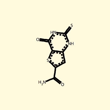 NC(=O)c1cc2[nH]c(=S)[nH]c(=O)c2s1